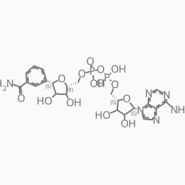 NC(=O)c1cccc([C@@H]2O[C@H](COP(=O)(O)OP(=O)(O)OC[C@@H]3O[C@H](n4cnc5c(N)ncnc54)C(O)C3O)C(O)C2O)c1